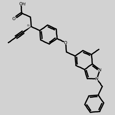 CC#C[C@@H](CC(=O)O)c1ccc(OCc2cc(C)c3nn(Cc4ccccc4)cc3c2)cc1